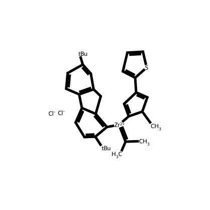 C[C](C)=[Zr+2]([C]1=CC(c2cccs2)=CC1C)[c]1c(C(C)(C)C)ccc2c1Cc1cc(C(C)(C)C)ccc1-2.[Cl-].[Cl-]